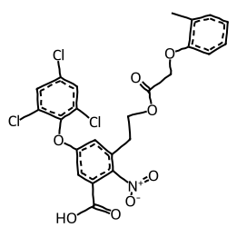 Cc1ccccc1OCC(=O)OCCc1cc(Oc2c(Cl)cc(Cl)cc2Cl)cc(C(=O)O)c1[N+](=O)[O-]